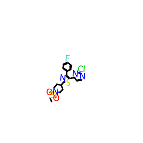 CCS(=O)(=O)N1CCC(c2nc(-c3ccc(F)cc3)c(-c3ccnc(Cl)n3)s2)CC1